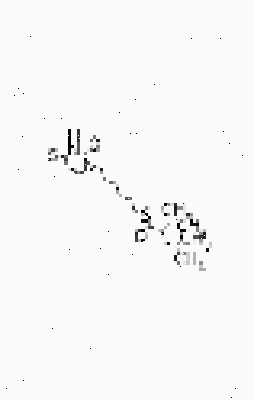 CC(C)CC(C(=O)SCCCCCCn1ccc(=S)[nH]c1=O)C(C)C